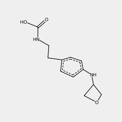 O=C(O)NCCc1ccc(NC2COC2)cc1